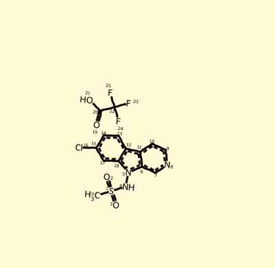 CS(=O)(=O)Nn1c2cnccc2c2ccc(Cl)cc21.O=C(O)C(F)(F)F